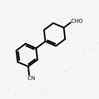 N#Cc1cccc(C2=CCC(C=O)CC2)c1